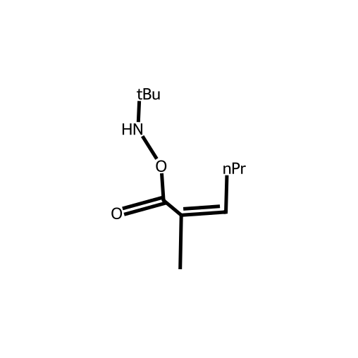 CCCC=C(C)C(=O)ONC(C)(C)C